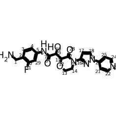 NCc1ccc(NC(=O)C(O)C2OCCN(c3ccn(-c4ccncc4)n3)C2=O)cc1F